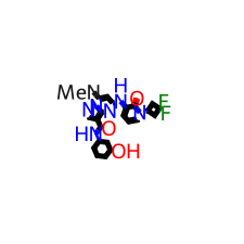 CNc1cc(Nc2cccn(C3CC(F)(F)C3)c2=O)nc2c(C(=O)N[C@@H]3CCC[C@@H](O)C3)cnn12